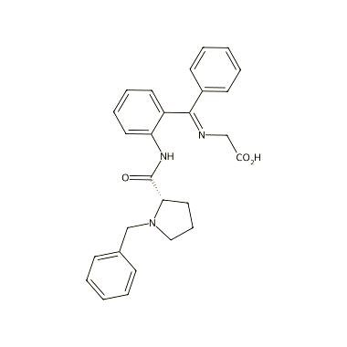 O=C(O)C/N=C(\c1ccccc1)c1ccccc1NC(=O)[C@@H]1CCCN1Cc1ccccc1